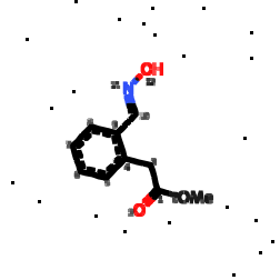 COC(=O)Cc1ccccc1C=NO